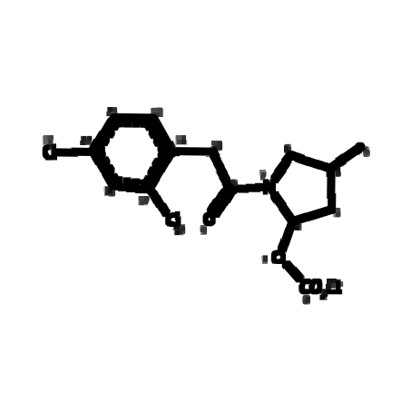 CCOC(=O)OC1CC(C)CN1C(=O)Cc1ccc(Cl)cc1Cl